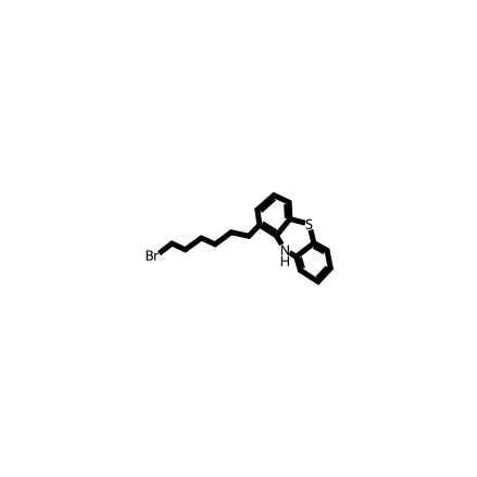 BrCCCCCCc1cccc2c1Nc1ccccc1S2